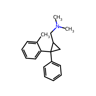 Cc1ccccc1C1(c2ccccc2)CC1CN(C)C